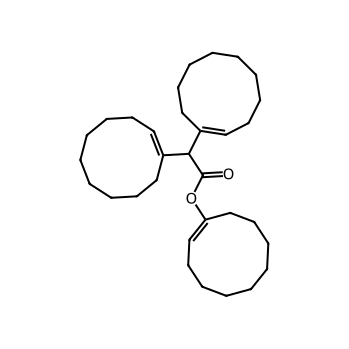 O=C(OC1=CCCCCCCCC1)C(C1=CCCCCCCCC1)C1=CCCCCCCCC1